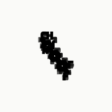 C=Cc1cnc(-c2ccc(-c3ccc(CF)c(F)c3)cc2)nc1